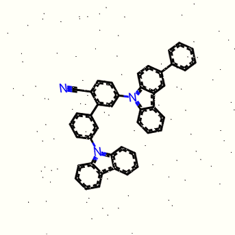 N#Cc1ccc(-n2c3ccccc3c3cc(-c4ccccc4)ccc32)cc1-c1cccc(-n2c3ccccc3c3ccccc32)c1